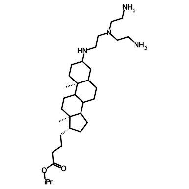 CC(C)OC(=O)CCC[C@H]1CCC2C3CCC4CC(NCCN(CCN)CCN)CC[C@]4(C)C3CC[C@@]21C